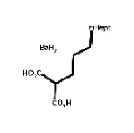 CCCCCCCCCCC(C(=O)O)C(=O)O.[BaH2]